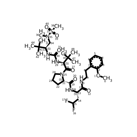 COc1ccccc1CCNC(=O)[C@H](CC(F)F)NC(=O)[C@@H]1CCCN1C(=O)[C@@H](NC(=O)N[C@H](CN(C)S(C)(=O)=O)C(C)(C)C)C(C)(C)C